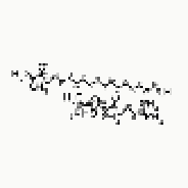 C=C(C)C(=O)O.C=C(C)C(=O)OCCCCCCCCCCCCCCCC.C=C(C)C(=O)OCCN(C)C